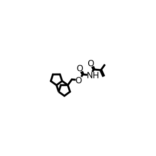 C=C(C)C(=O)NC(=O)OCC12CCC(C1)C1CCCC12